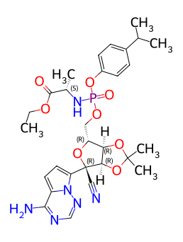 CCOC(=O)[C@H](C)NP(=O)(OC[C@H]1O[C@@](C#N)(c2ccc3c(N)ncnn23)[C@@H]2OC(C)(C)O[C@@H]21)Oc1ccc(C(C)C)cc1